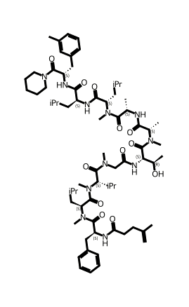 C=C(C)CCC(=O)N[C@@H](Cc1ccccc1)C(=O)N(C)[C@@H](CC(C)C)C(=O)N(C)[C@H](C(=O)N(C)CC(=O)N[C@H](C(=O)N(C)[C@@H](C)C(=O)N[C@@H](C)C(=O)N(C)[C@@H](CC(C)C)C(=O)N[C@@H](CC(C)C)C(=O)N[C@@H](Cc1cccc(C)c1)C(=O)N1CCCCC1)[C@@H](C)O)C(C)C